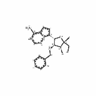 CC[C@@]1(C)O[C@@H](c2ccc3c(N)ncnn23)[C@H](OCc2ccccc2)[C@@H]1C